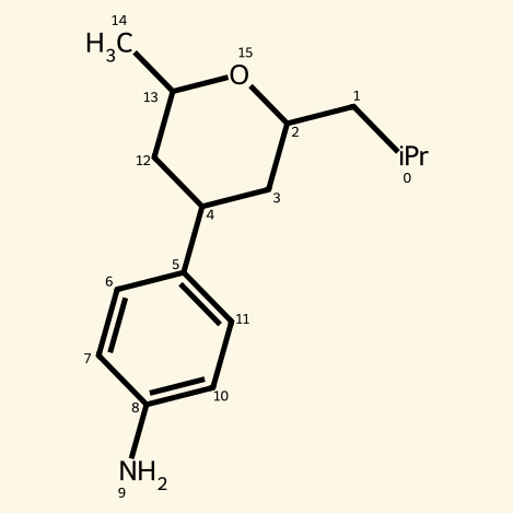 CC(C)CC1CC(c2ccc(N)cc2)CC(C)O1